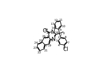 CC1(c2ccc(Cl)cc2)c2ccccc2-n2c1nc1cc3ccccc3cc1c2=O